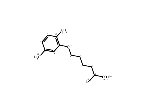 CCOC(=O)C(CCCCOc1cc(C)ccc1C)C(C)=O